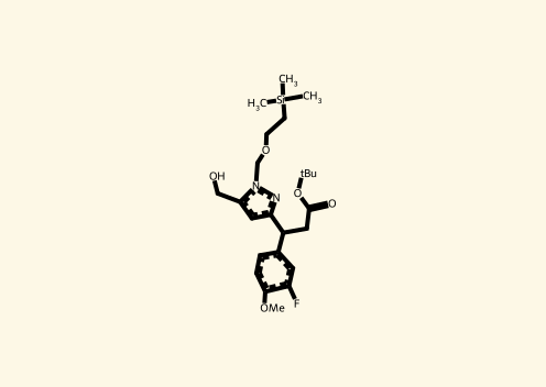 COc1ccc(C(CC(=O)OC(C)(C)C)c2cc(CO)n(COCC[Si](C)(C)C)n2)cc1F